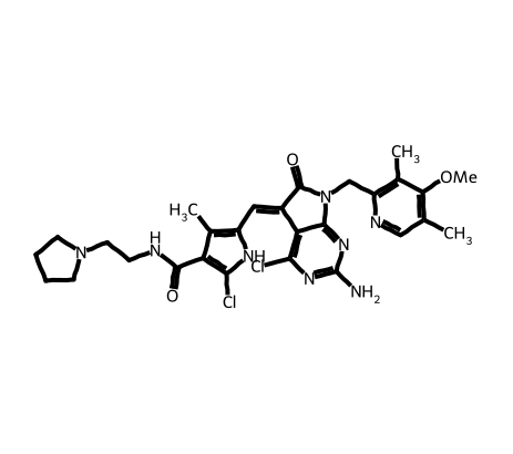 COc1c(C)cnc(CN2C(=O)/C(=C/c3[nH]c(Cl)c(C(=O)NCCN4CCCC4)c3C)c3c(Cl)nc(N)nc32)c1C